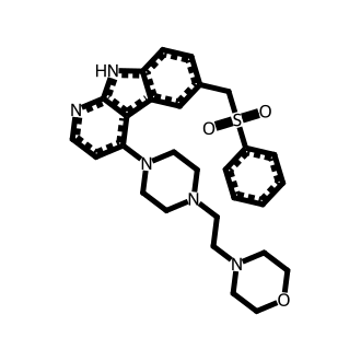 O=S(=O)(Cc1ccc2[nH]c3nccc(N4CCN(CCN5CCOCC5)CC4)c3c2c1)c1ccccc1